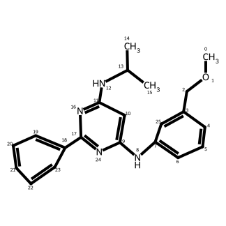 COCc1cccc(Nc2cc(NC(C)C)nc(-c3ccccc3)n2)c1